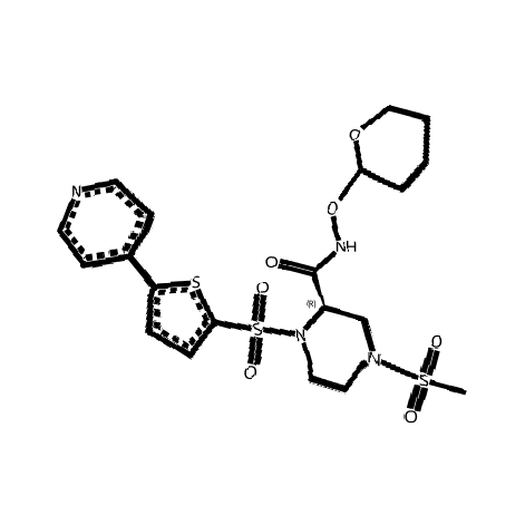 CS(=O)(=O)N1CCN(S(=O)(=O)c2ccc(-c3ccncc3)s2)[C@@H](C(=O)NOC2CCCCO2)C1